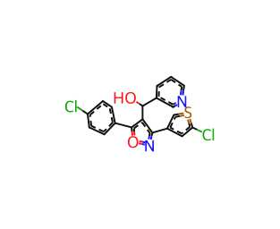 OC(c1cccnc1)c1c(-c2csc(Cl)c2)noc1-c1ccc(Cl)cc1